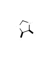 O=C1N[CH]SC1=O